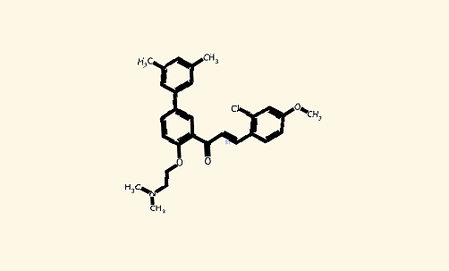 COc1ccc(/C=C/C(=O)c2cc(-c3cc(C)cc(C)c3)ccc2OCCN(C)C)c(Cl)c1